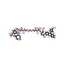 C=c1ccc2c(c1)Oc1cc(O)ccc1C=2c1ccc(N2C(=O)CC(SCC(NC(=O)CCOCCOCCNC(=O)CCS(=O)(=O)c3c(F)c(F)c(N[SH](=O)=O)c(F)c3NC3CCCCCCC3)C(=O)O)C2=O)cc1C(=O)O